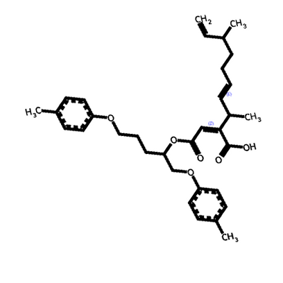 C=CC(C)CC/C=C/C(C)/C(=C/C(=O)OC(CCCOc1ccc(C)cc1)COc1ccc(C)cc1)C(=O)O